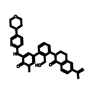 C=C(C)c1ccc2c(c1)CCN(c1cccc(-c3cc(Nc4ccc(N5CCOCC5)cn4)c(=O)n(C)c3)c1CO)C2=O